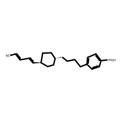 CCCCCCCc1ccc(CCCC[C@H]2CC[C@H](/C=C/C=C/C#N)CC2)cc1